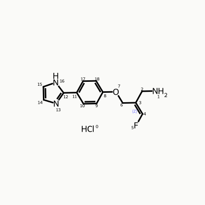 Cl.NC/C(=C/F)COc1ccc(-c2ncc[nH]2)cc1